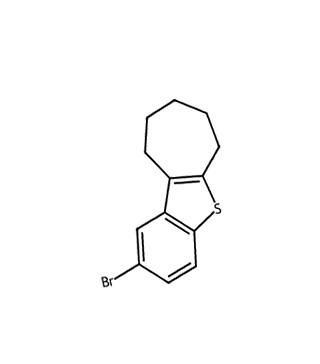 Brc1ccc2sc3c(c2c1)CCCCC3